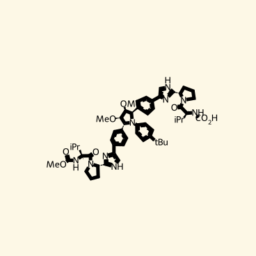 COC(=O)N[C@H](C(=O)N1CCC[C@H]1c1nc(-c2ccc([C@@H]3[C@H](OC)[C@@H](OC)[C@@H](c4ccc(-c5c[nH]c([C@@H]6CCCN6C(=O)[C@@H](NC(=O)O)C(C)C)n5)cc4)N3c3ccc(C(C)(C)C)cc3)cc2)c[nH]1)C(C)C